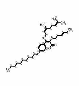 CCC=CCCOc1c(OCC=C(C)CCC=C(C)C)c2ccc(OCCCCCCCCCC)cc2oc1=O